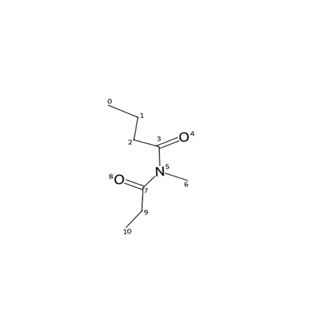 CCCC(=O)N(C)C(=O)CC